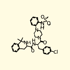 CC1(C)NC(C(=O)N[C@H](Cc2ccc(Cl)cc2)C(=O)N2CCN(c3ccccc3NS(C)(=O)=O)CC2)Cc2ccccc21